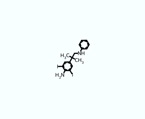 CC(C)(CNc1ccccc1)c1cc(I)c(N)c(I)c1